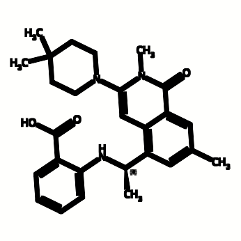 Cc1cc([C@@H](C)Nc2ccccc2C(=O)O)c2cc(N3CCC(C)(C)CC3)n(C)c(=O)c2c1